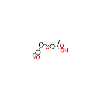 CC#CC(CC(=O)O)c1ccc(OCc2cccc(C3=CCC4(CC3)OCCO4)c2)cc1